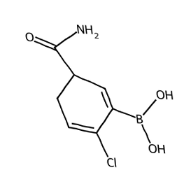 NC(=O)C1C=C(B(O)O)C(Cl)=CC1